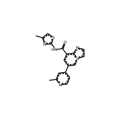 Cc1cc(-c2cc(C(=O)Nc3nc(C)cs3)c3nccn3c2)ccn1